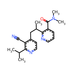 CC(C)c1nccc(CC(C)c2ncccc2C(=O)N(C)C)c1C#N